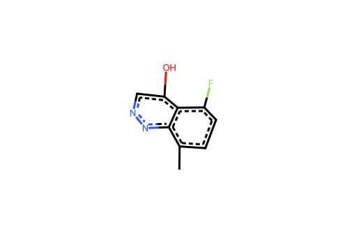 Cc1ccc(F)c2c(O)cnnc12